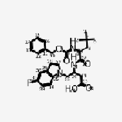 CC(C)(C)C[C@H](NC(=O)OCc1ccccc1)C(=O)NC(CC(=O)O)CN1CCc2cc(F)ccc21